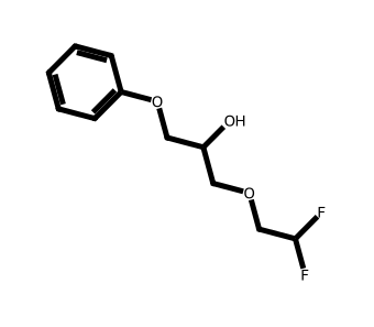 OC(COCC(F)F)COc1ccccc1